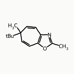 Cc1nc2c(o1)C=CC(C)(C(C)(C)C)C=C2